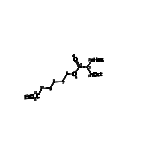 CCCCCCCCC(CCCCCC)C(=O)OCCCCCC(=O)OCC